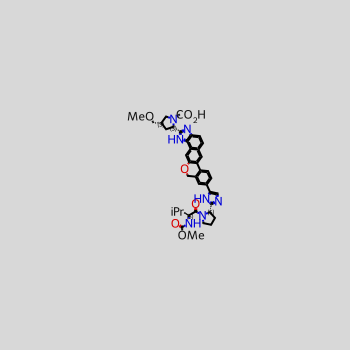 COC[C@H]1C[C@@H](c2nc3ccc4cc5c(cc4c3[nH]2)OCc2cc(-c3cnc([C@@H]4CCCN4C(=O)[C@@H](NC(=O)OC)C(C)C)[nH]3)ccc2-5)N(C(=O)O)C1